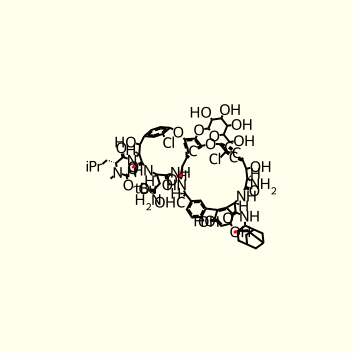 CC(C)C[C@H](C(=O)N[C@H]1C(=O)N[C@@H](CC(N)=O)C(=O)N[C@H]2C(=O)N[C@@H](C=O)c3ccc(O)c(c3)C3=C(CC(O)C=C3O)[C@@H](C(=O)NC3C4CC5CC(C4)CC3C5)NC(=O)[C@H](N)C(O)c3ccc(c(Cl)c3)Oc3cc2cc(c3OC2OC(CO)C(O)C(O)C2O)Oc2ccc(cc2Cl)C1O)N(C)C(=O)OC(C)(C)C